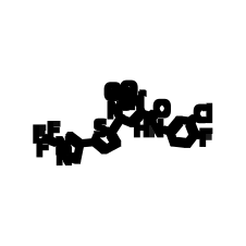 CN1C(C(=O)Nc2ccc(F)c(Cl)c2)=CC(c2ccc(-c3cnn(C(F)(F)F)c3)s2)=NS1(=O)=O